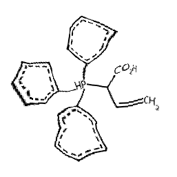 C=CC(C(=O)O)[PH](c1ccccc1)(c1ccccc1)c1ccccc1